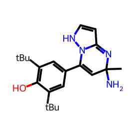 CC1(N)C=C(c2cc(C(C)(C)C)c(O)c(C(C)(C)C)c2)N2NC=CC2=N1